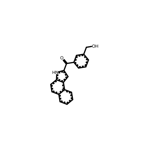 O=C(c1cccc(CO)c1)c1cc2c(ccc3ccccc32)[nH]1